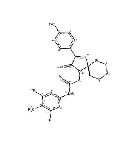 N#Cc1ccc(C2=NC3(CCCCC3)N(CC(=O)Nc3cc(F)c(C(F)(F)F)c(F)c3)C2=O)cc1